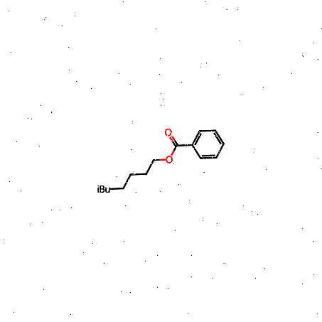 CCC(C)CCCCOC(=O)c1ccccc1